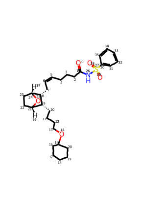 O=C(CCC/C=C\C[C@@H]1[C@H](CCCCOC2CCCCC2)[C@@H]2CC[C@H]1O2)NS(=O)(=O)c1ccccc1